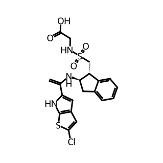 C=C(N[C@@H]1Cc2ccccc2[C@H]1CS(=O)(=O)NCC(=O)O)c1cc2cc(Cl)sc2[nH]1